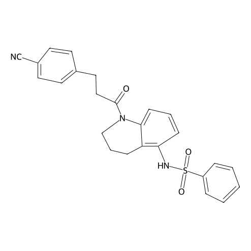 N#Cc1ccc(CCC(=O)N2CCCc3c(NS(=O)(=O)c4ccccc4)cccc32)cc1